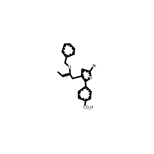 C/C=C(/Cc1cc(Br)sc1-c1ccc(C(=O)O)cc1)OCc1ccccc1